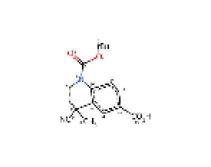 CC(C)(C)OC(=O)N1CCC(C)(C#N)c2cc(C(=O)O)ccc21